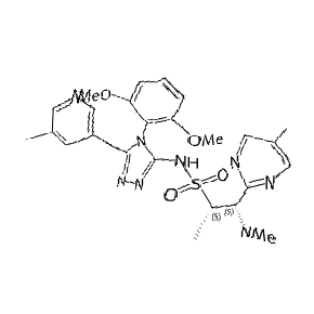 CN[C@@H](c1ncc(C)cn1)[C@H](C)S(=O)(=O)Nc1nnc(-c2cncc(C)c2)n1-c1c(OC)cccc1OC